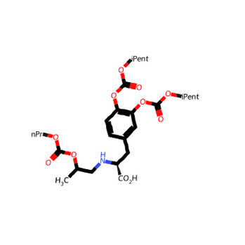 CCCOC(=O)OC(C)CN[C@@H](Cc1ccc(OC(=O)OC(C)CCC)c(OC(=O)OC(C)CCC)c1)C(=O)O